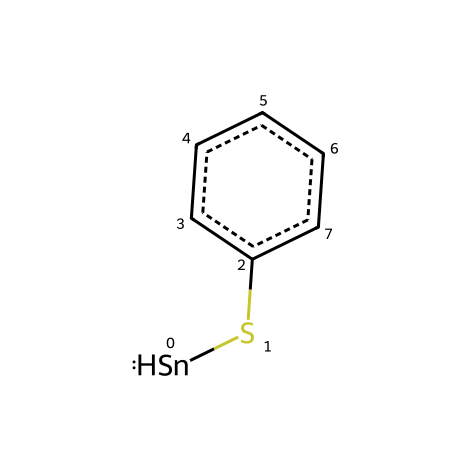 [SnH][S]c1ccccc1